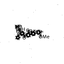 COC[C@H]1CN(c2ccc3c4c(c(=O)oc3c2C)CN(C(=O)c2ccc(C(=O)NS(=O)(=O)C3(C)CC3)c(OC3CCCC3)c2)CC4)CCN1C